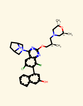 C[C@@H](COc1nc(N2CC3CCC(C2)N3)c2cc(Cl)c(-c3cc(O)cc4ccccc34)c(F)c2n1)CN1C[C@H](C)O[C@@H](C)C1